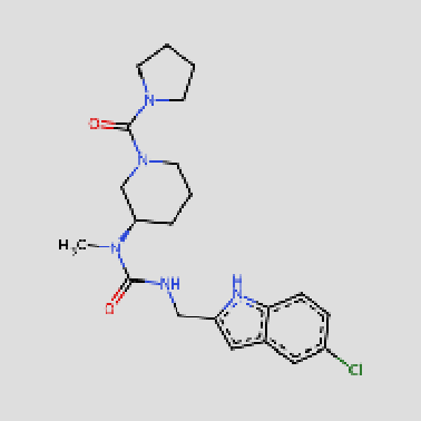 CN(C(=O)NCc1cc2cc(Cl)ccc2[nH]1)[C@@H]1CCCN(C(=O)N2CCCC2)C1